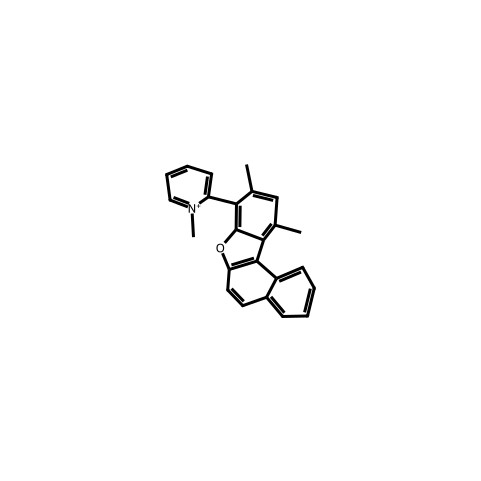 Cc1cc(C)c2c(oc3ccc4ccccc4c32)c1-c1cccc[n+]1C